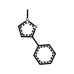 Cn1ccc(-c2c[c]ccc2)n1